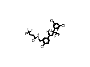 O=C(CCC(F)(F)F)NCc1cc(C2=NOC(c3cc(Cl)cc(Cl)c3)(C(F)(F)F)C2)ccc1Cl